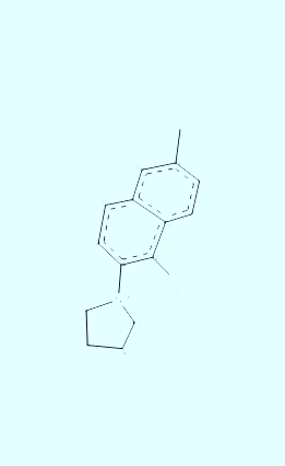 Fc1ccc2c(Cl)c(N3CCCC3)ccc2c1